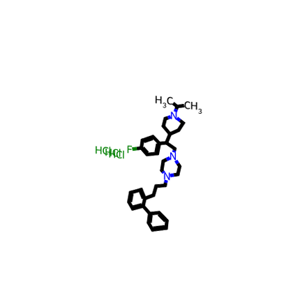 CC(C)N1CCC(C(CN2CCN(CCCc3ccccc3-c3ccccc3)CC2)c2ccc(F)cc2)CC1.Cl.Cl.Cl